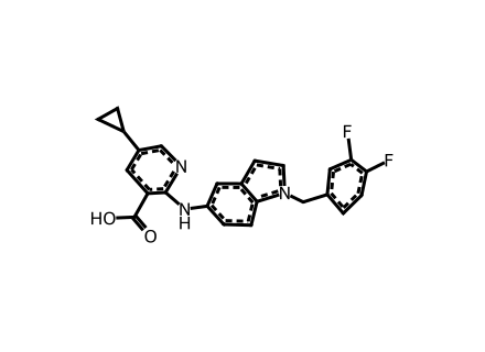 O=C(O)c1cc(C2CC2)cnc1Nc1ccc2c(ccn2Cc2ccc(F)c(F)c2)c1